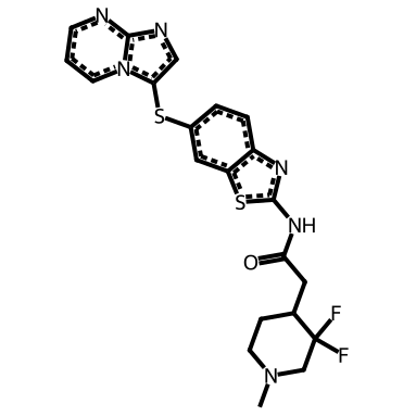 CN1CCC(CC(=O)Nc2nc3ccc(Sc4cnc5ncccn45)cc3s2)C(F)(F)C1